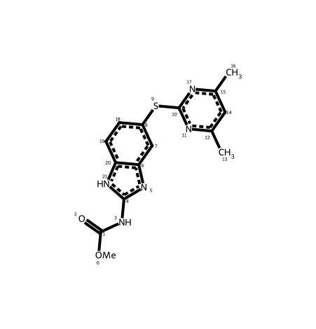 COC(=O)Nc1nc2cc(Sc3nc(C)cc(C)n3)ccc2[nH]1